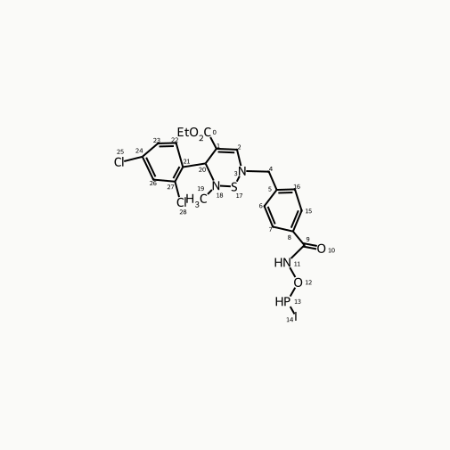 CCOC(=O)C1=CN(Cc2ccc(C(=O)NOPI)cc2)SN(C)C1c1ccc(Cl)cc1Cl